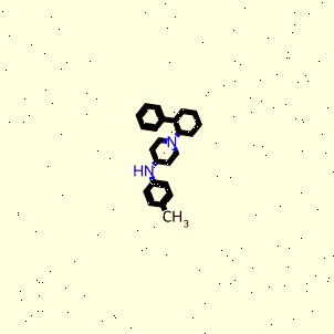 Cc1ccc(NC2CCN(C3CCCCC3c3ccccc3)CC2)cc1